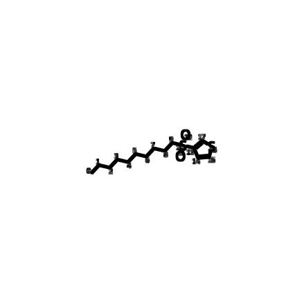 CCCCCCCCCCS(=O)(=O)c1ccsc1